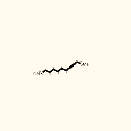 CCCCCCCCCCCCC#C[CH]SC